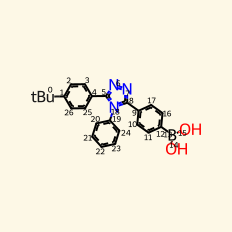 CC(C)(C)c1ccc(-c2nnc(-c3ccc(B(O)O)cc3)n2-c2ccccc2)cc1